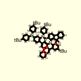 CC(C)(C)c1ccc(N2B3c4ccc5c(c4N(c4ccc(C(C)(C)C)cc4-c4ccccc4)c4cc(-c6ccccc6)cc(c43)-c3ccc(N(c4ccc(C(C)(C)C)cc4)c4ccc(C(C)(C)C)cc4)cc32)C(C)(C)c2ccccc2-5)cc1